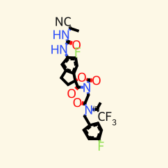 CC(C#N)NC(=O)Nc1cc2c(cc1F)C1(CC2)OC(=O)N(CC(=O)N(Cc2ccc(F)cc2)[C@@H](C)C(F)(F)F)C1=O